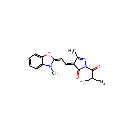 CC1=NN(C(=O)C(C)C)C(=O)/C1=C/C=C1/Oc2ccccc2N1C